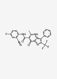 Cc1[nH]n2c(-c3ccccc3)c(C(F)(F)F)nc2c(=O)c1C(=O)Nc1ccc(F)cc1C#N